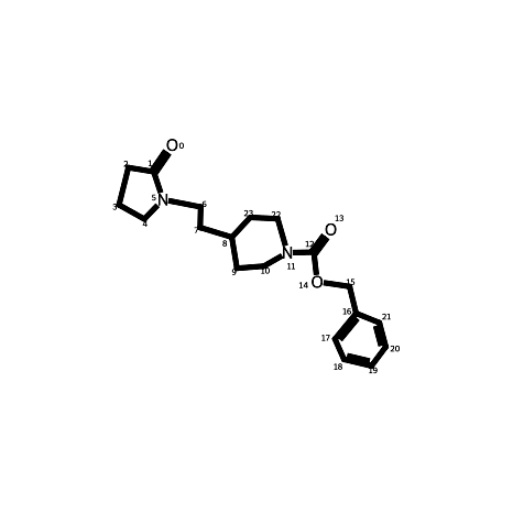 O=C1CCCN1CCC1CCN(C(=O)OCc2ccccc2)CC1